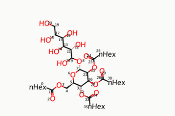 CCCCCCC(=O)OC[C@H]1O[C@H](OC(O)[C@@H](O)[C@@H](O)[C@H](O)[C@H](O)CO)[C@@H](OC(=O)CCCCCC)[C@@H](OC(=O)CCCCCC)[C@@H]1OC(=O)CCCCCC